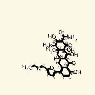 CC/N=C/c1ccc(-c2ccc(O)c3c2C[C@H]2CC4(C)C(N)C(O)=C(C(N)=O)C(=O)[C@@]4(O)C(O)=C2C3=O)o1